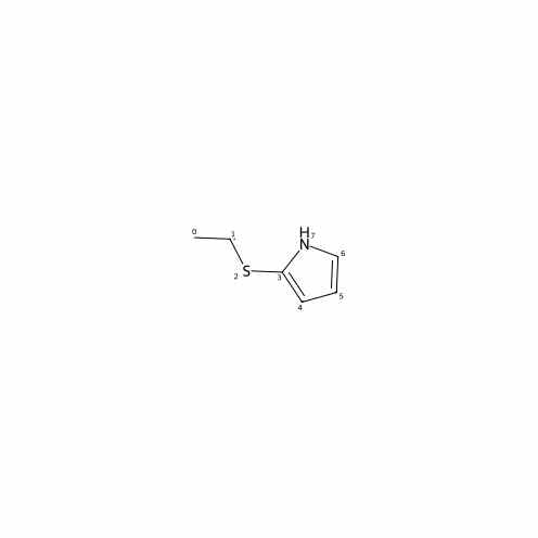 C[CH]Sc1ccc[nH]1